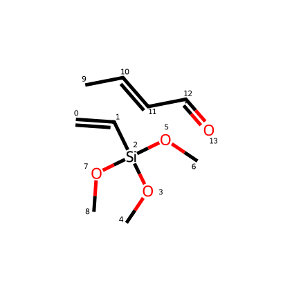 C=C[Si](OC)(OC)OC.CC=C[C]=O